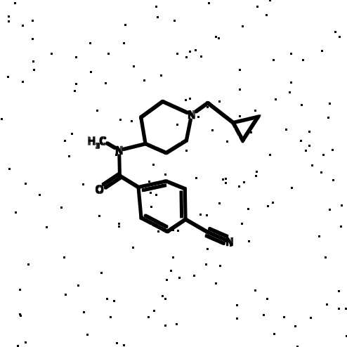 CN(C(=O)c1ccc(C#N)cc1)C1CCN(CC2CC2)CC1